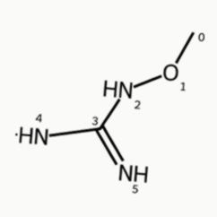 CONC([NH])=N